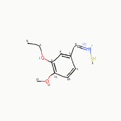 CCOc1cc(/C=N\S)ccc1OC